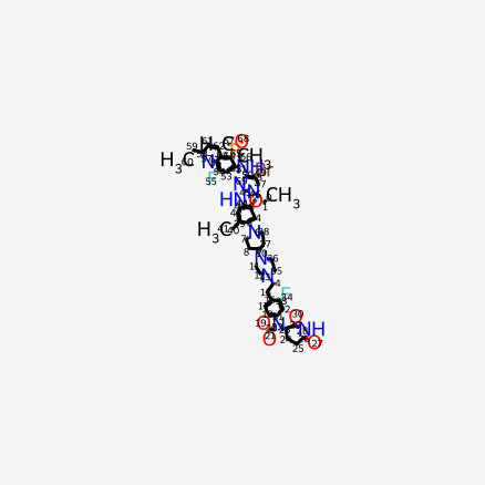 CCOc1cc(N2CCC(N3CCN(CCc4cc5oc(=O)n(C6CCC(=O)NC6=O)c5cc4F)CC3)CC2)c(CC)cc1Nc1ncc(Br)c(Nc2cc(F)c3nc(CC)ccc3c2P(C)(C)=O)n1